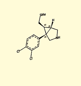 CSC[C@H]1[C@@H]2CNC[C@@]21c1ccc(Cl)c(Cl)c1